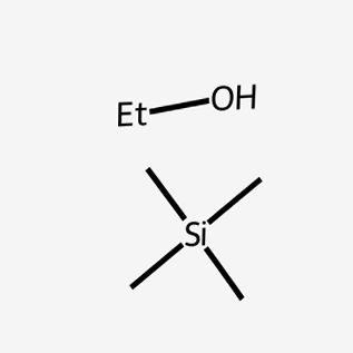 CCO.C[Si](C)(C)C